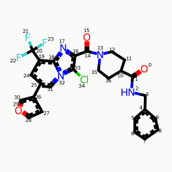 O=C(NCc1ccccc1)C1CCN(C(=O)c2nc3c(C(F)(F)F)cc(-c4ccoc4)cn3c2Cl)CC1